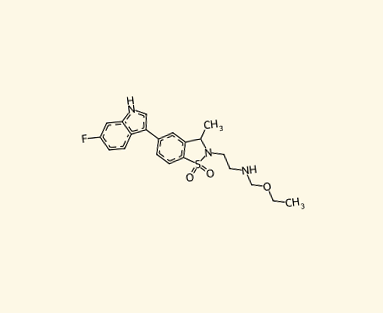 CCOCNCCN1C(C)c2cc(-c3c[nH]c4cc(F)ccc34)ccc2S1(=O)=O